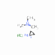 C1CC1.CN(C)C.Cl.N